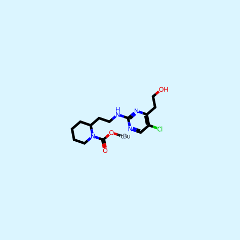 CC(C)(C)OC(=O)N1CCCCC1CCNc1ncc(Cl)c(CCO)n1